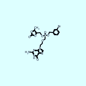 Cc1oc(=O)oc1COP(=O)(COCCn1cnc2c(=O)[nH]c(N)nc21)OCc1cccc(Br)c1